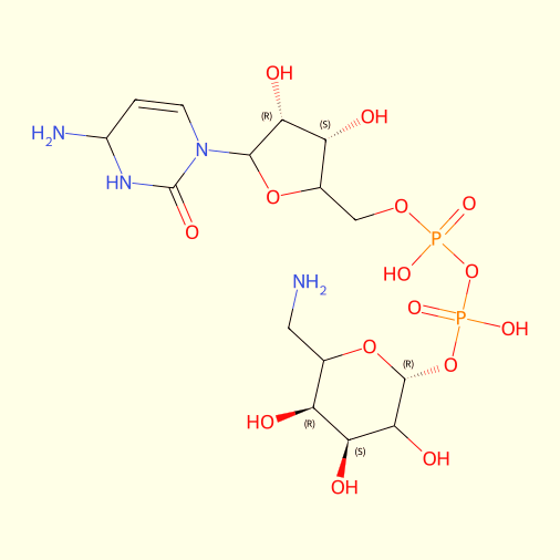 NCC1O[C@H](OP(=O)(O)OP(=O)(O)OCC2OC(N3C=CC(N)NC3=O)[C@H](O)[C@@H]2O)C(O)[C@@H](O)[C@H]1O